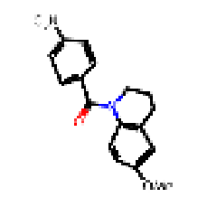 COc1ccc2c(c1)CCCN2C(=O)c1ccc([N+](=O)[O-])cc1